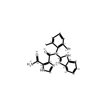 Cc1cccc(C(C)C)c1N(C(=O)c1nc[nH]c1C(N)=O)c1nc2ccccc2[nH]1